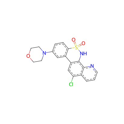 O=S1(=O)Nc2c(cc(Cl)c3cccnc23)-c2cc(N3CCOCC3)ccc21